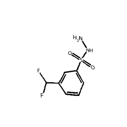 NNS(=O)(=O)c1cccc(C(F)F)c1